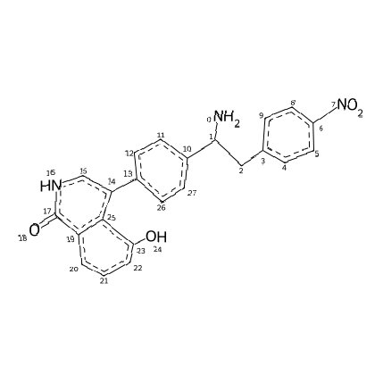 NC(Cc1ccc([N+](=O)[O-])cc1)c1ccc(-c2c[nH]c(=O)c3cccc(O)c23)cc1